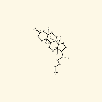 C[C@H](CCCO)C1CC[C@H]2[C@@H]3CC[C@@H]4C[C@H](O)CCC4(C)C3CCC12C